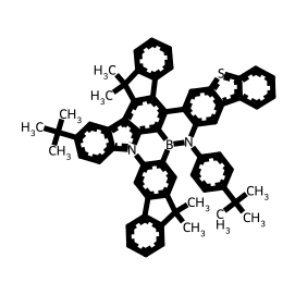 CC(C)(C)c1ccc(N2B3c4cc5c(cc4-n4c6ccc(C(C)(C)C)cc6c6c7c(c(c3c64)-c3cc4sc6ccccc6c4cc32)-c2ccccc2C7(C)C)-c2ccccc2C5(C)C)cc1